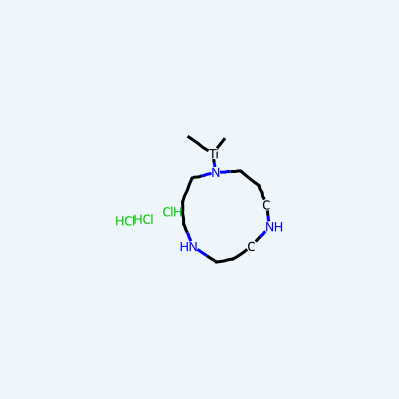 Cl.Cl.Cl.[CH3][Ti]([CH3])[N]1CCCNCCCNCCC1